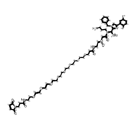 CC(C)(C)C(c1nc(-c2cc(F)ccc2F)cn1Cc1ccccc1)N(CCCN)C(=O)C[S+]([O-])CCNC(=O)CCOCCOCCOCCOCCOCCOCCOCCOCCNC(=O)CCN1C(=O)C=CC1=O